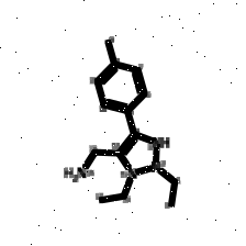 CCN1NC(c2ccc(C)cc2)=C(CN)N1CC